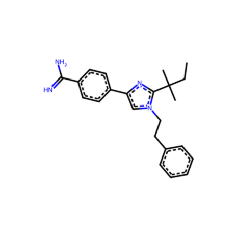 CCC(C)(C)c1nc(-c2ccc(C(=N)N)cc2)cn1CCc1ccccc1